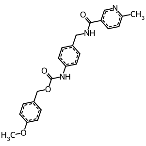 COc1ccc(COC(=O)Nc2ccc(CNC(=O)c3ccc(C)nc3)cc2)cc1